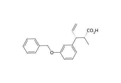 C=C[C@@H](c1cccc(OCc2ccccc2)c1)[C@@H](C)C(=O)O